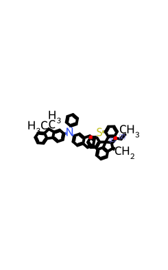 C=C1/C(=C\C=C/C)C2(c3ccccc3Sc3ccccc32)c2c1cccc2-c1ccc2cc(N(c3ccccc3)c3ccc4c(c3)C(C)(C)c3ccccc3-4)ccc2c1